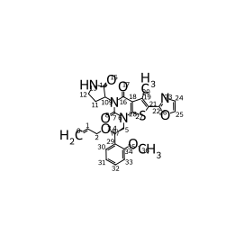 C=CCO[C@@H](Cn1c(=O)n(C2CCNC2=O)c(=O)c2c(C)c(-c3ncco3)sc21)c1ccccc1OC